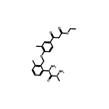 CCOC(=O)CC(=O)c1ccc(OCc2c(C)cccc2N(N)C(=O)N(C)N)c(C)c1